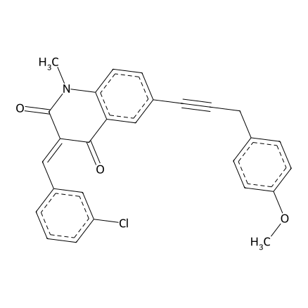 COc1ccc(CC#Cc2ccc3c(c2)C(=O)/C(=C\c2cccc(Cl)c2)C(=O)N3C)cc1